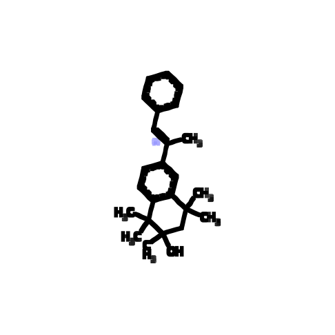 C/C(=C\c1ccccc1)c1ccc2c(c1)C(C)(C)CC(C)(O)C2(C)C